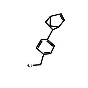 BCc1ccc(C2CC3C=CC2C3)cc1